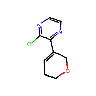 Clc1nccnc1C1=CCCOC1